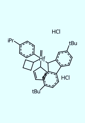 Cl.Cl.[CH2]=[Hf]([c]1ccc(C(C)C)cc1)([CH]1C=CC=C1)([CH]1CCC1)[CH]1c2cc(C(C)(C)C)ccc2-c2ccc(C(C)(C)C)cc21